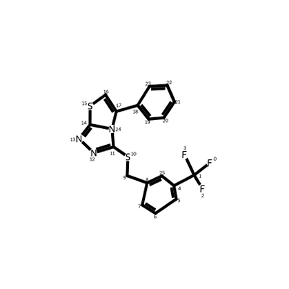 FC(F)(F)c1cccc(CSc2nnc3scc(-c4ccccc4)n23)c1